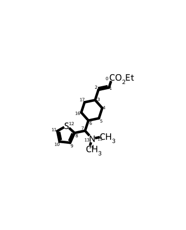 CCOC(=O)C=CC1CCC(C(c2cccs2)N(C)C)CC1